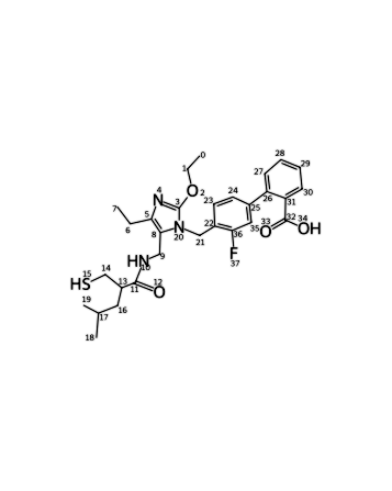 CCOc1nc(CC)c(CNC(=O)C(CS)CC(C)C)n1Cc1ccc(-c2ccccc2C(=O)O)cc1F